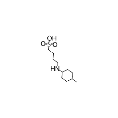 CC1CCC(NCCCCS(=O)(=O)O)CC1